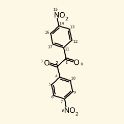 O=C(C(=O)c1ccc([N+](=O)[O-])cc1)c1ccc([N+](=O)[O-])cc1